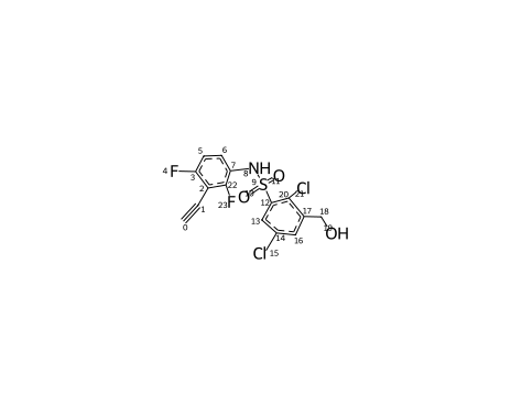 C#Cc1c(F)ccc(NS(=O)(=O)c2cc(Cl)cc(CO)c2Cl)c1F